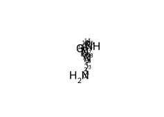 NCCCCCN1CCN(C(=O)c2ccc[nH]2)CC1